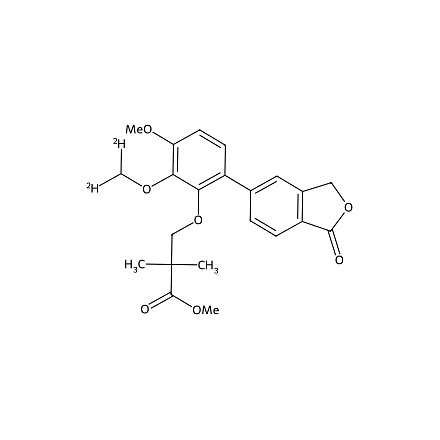 [2H]C([2H])Oc1c(OC)ccc(-c2ccc3c(c2)COC3=O)c1OCC(C)(C)C(=O)OC